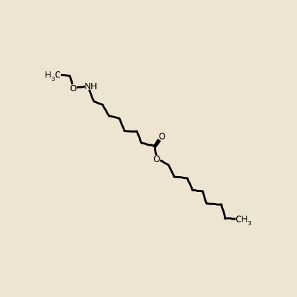 CCCCCCCCCOC(=O)CCCCCCCNOCC